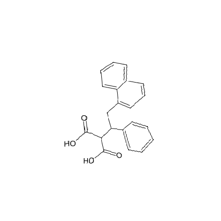 O=C(O)C(C(=O)O)C(Cc1cccc2ccccc12)c1ccccc1